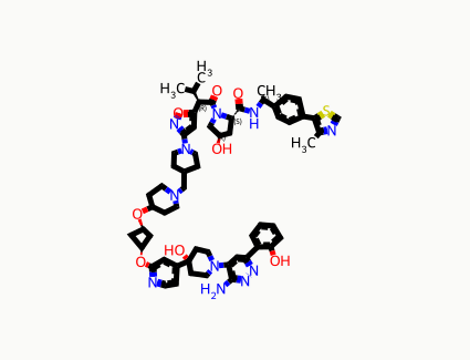 Cc1ncsc1-c1ccc([C@H](C)NC(=O)[C@@H]2C[C@@H](O)CN2C(=O)[C@@H](c2cc(N3CCC(CN4CCC(O[C@H]5C[C@H](Oc6cc(C7(O)CCN(c8cc(-c9ccccc9O)nnc8N)CC7)ccn6)C5)CC4)CC3)no2)C(C)C)cc1